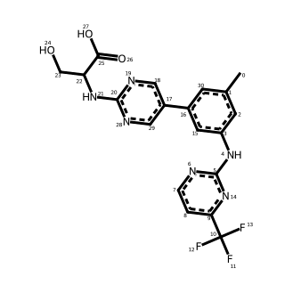 Cc1cc(Nc2nccc(C(F)(F)F)n2)cc(-c2cnc(NC(CO)C(=O)O)nc2)c1